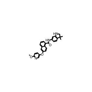 COc1ccc(Oc2ccc3c(C(=O)Nc4ccc5c(c4)NCC5(C)C)cccc3c2)cn1